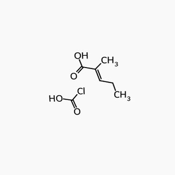 CC/C=C(\C)C(=O)O.O=C(O)Cl